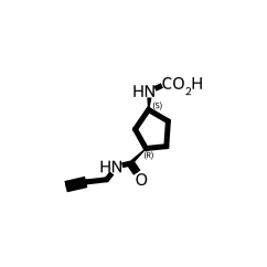 C#CCNC(=O)[C@@H]1CC[C@H](NC(=O)O)C1